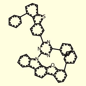 c1ccc(-c2nc(-c3ccc4c(c3)sc3cccc(-c5ccccc5)c34)nc(-n3c4ccccc4c4ccc5c6cccc(-c7ccccc7)c6oc5c43)n2)cc1